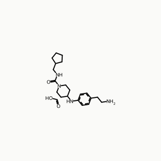 NCCc1ccc(NC2CCN(C(=O)NCC3CCCC3)CC2)cc1.O=CO